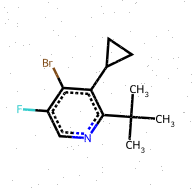 CC(C)(C)c1ncc(F)c(Br)c1C1CC1